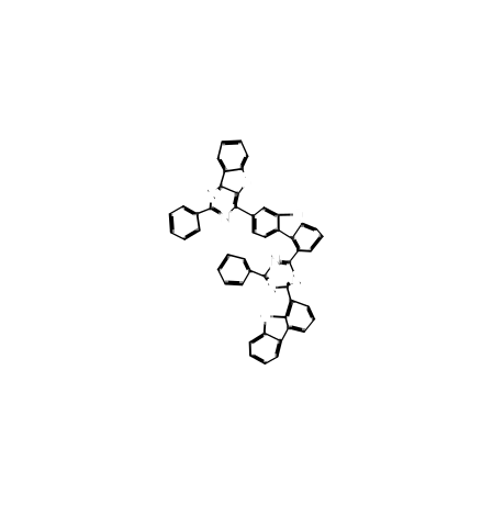 c1ccc(-c2nc(-c3cccc4c3oc3ccccc34)nc(-c3cccc4oc5cc(-c6nc(-c7ccccc7)nc7c6sc6ccccc67)ccc5c34)n2)cc1